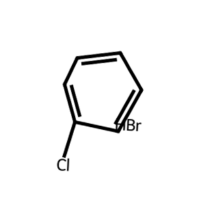 Br.Clc1ccccc1